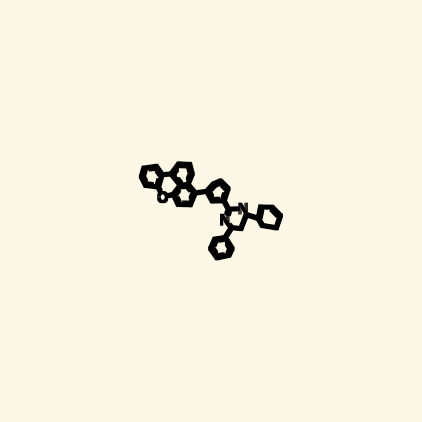 C1=CCCC(C2=NC(c3cccc(-c4ccc5c6c(cccc46)-c4ccccc4O5)c3)=NC(c3ccccc3)C2)=C1